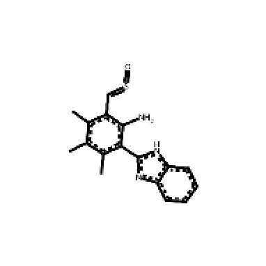 Cc1c(C)c(C=S=O)c(N)c(-c2nc3ccccc3[nH]2)c1C